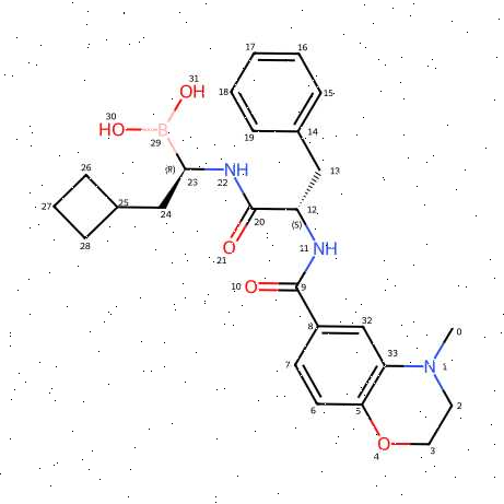 CN1CCOc2ccc(C(=O)N[C@@H](Cc3ccccc3)C(=O)N[C@@H](CC3CCC3)B(O)O)cc21